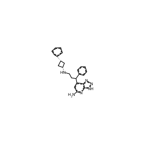 Nc1cc(C(CCN[C@H]2C[C@@H](c3ccccc3)C2)c2ccccc2)c2nn[nH]c2n1